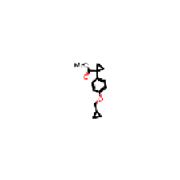 COC(=O)C1(c2ccc(OCC3CC3)cc2)CC1